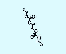 CCOC(=O)O/C=C/OC(=O)OCC